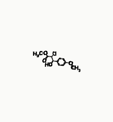 COC(=O)C(Cl)[C@H](O)c1ccc(OC)cc1